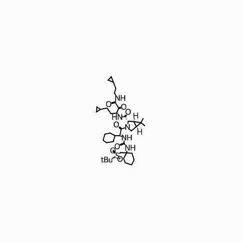 CC1(C)[C@@H]2[C@@H](C(=O)NC(CCC3CC3)C(=O)C(=O)NCCC3CC3)N(C(=O)[C@@H](NC(=O)NC3(CS(=O)(=O)C(C)(C)C)CCCCC3)C3CCCCC3)C[C@@H]21